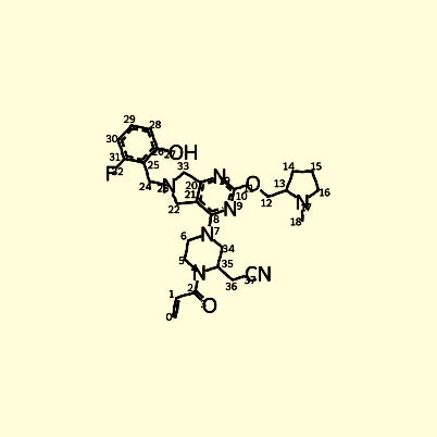 C=CC(=O)N1CCN(c2nc(OCC3CCCN3C)nc3c2CN(Cc2c(O)cccc2F)C3)CC1CC#N